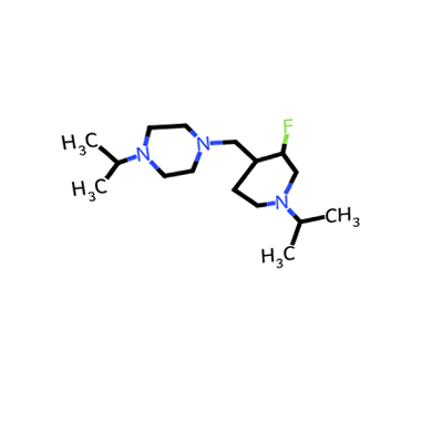 CC(C)N1CCN(CC2CCN(C(C)C)CC2F)CC1